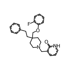 O=c1[nH]cccc1CN1CCC(CCc2ccccc2)(COc2ccccc2F)CC1